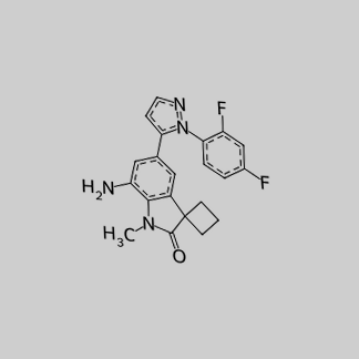 CN1C(=O)C2(CCC2)c2cc(-c3ccnn3-c3ccc(F)cc3F)cc(N)c21